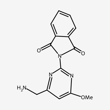 COc1cc(CN)nc(N2C(=O)c3ccccc3C2=O)n1